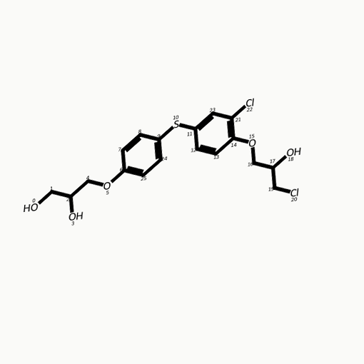 OCC(O)COc1ccc(Sc2ccc(OCC(O)CCl)c(Cl)c2)cc1